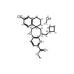 COC(=O)c1ccc2c(n1)N(C[C@@H]1CC[C@H]1CO)CC1(CCCc3cc(Cl)ccc31)CO2